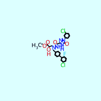 CCOC(=O)C(O)CN(Cc1ccc(-c2cc(Cl)ccc2F)cc1)NC(=O)c1nn(-c2cccc(Cl)c2)c(=O)[nH]1